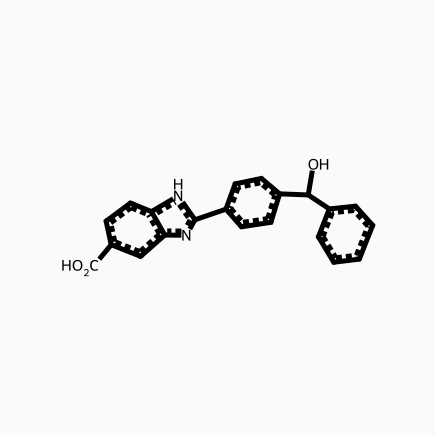 O=C(O)c1ccc2[nH]c(-c3ccc(C(O)c4ccccc4)cc3)nc2c1